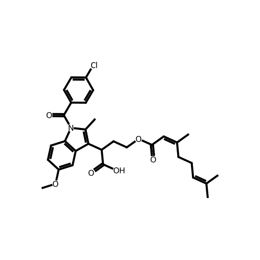 COc1ccc2c(c1)c(C(CCOC(=O)C=C(C)CCC=C(C)C)C(=O)O)c(C)n2C(=O)c1ccc(Cl)cc1